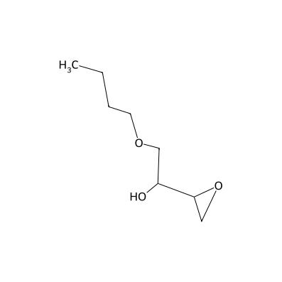 CCCCOCC(O)C1CO1